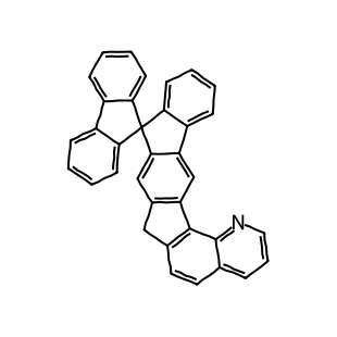 c1ccc2c(c1)-c1ccccc1C21c2ccccc2-c2cc3c(cc21)Cc1ccc2cccnc2c1-3